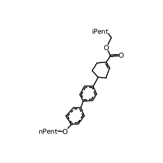 CCCCCOc1ccc(-c2ccc(C3CC=C(C(=O)OCC(C)CCC)CC3)cc2)cc1